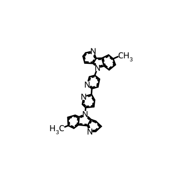 Cc1ccc2c(c1)c1ncccc1n2-c1ccc(-c2ccc(-n3c4ccc(C)cc4c4ncccc43)cn2)nc1